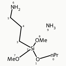 CCCO[Si](CCCN)(OC)OC.N